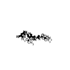 CC(C)Nc1cc(-n2ncc3cc(C#N)cnc32)ncc1-c1cn(C2CN(C(=O)OC(C)(C)C)C2)cn1